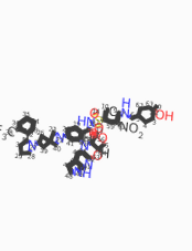 CC1(O)CCC(CNc2ccc(S(=O)(=O)NC(=O)c3ccc(N4CC5(CC(N6CCC[C@H]6c6ccccc6C(F)(F)F)C5)C4)cc3N3c4cc5cc[nH]c5nc4O[C@H]4COC[C@@H]43)cc2[N+](=O)[O-])CC1